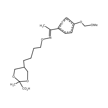 COCOc1ccc(C(C)=NOCCCCC2COC(C)(C(=O)O)OC2)cc1